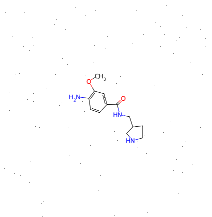 COc1cc(C(=O)NCC2CCNC2)ccc1N